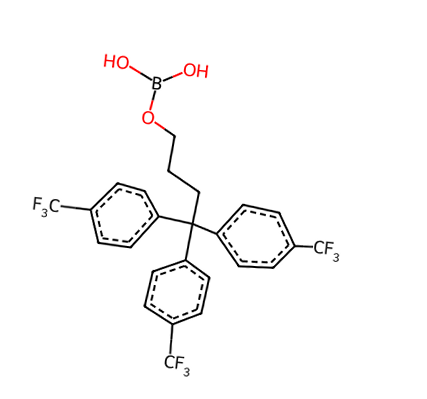 OB(O)OCCCC(c1ccc(C(F)(F)F)cc1)(c1ccc(C(F)(F)F)cc1)c1ccc(C(F)(F)F)cc1